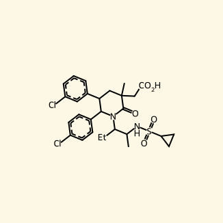 CCC(C(C)NS(=O)(=O)C1CC1)N1C(=O)C(C)(CC(=O)O)CC(c2cccc(Cl)c2)C1c1ccc(Cl)cc1